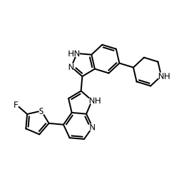 Fc1ccc(-c2ccnc3[nH]c(-c4n[nH]c5ccc(C6C=CNCC6)cc45)cc23)s1